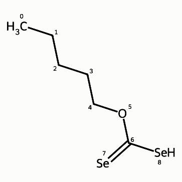 CCCCCOC(=[Se])[SeH]